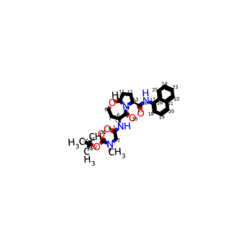 CN(CC(=O)N[C@H]1CCO[C@H]2CC[C@@H](C(=O)Nc3cccc4ccccc34)N2C1=O)C(=O)OC(C)(C)C